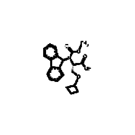 COC(=O)N(C1c2ccccc2-c2ccccc21)[C@@H](COC1CCC1)C(=O)O